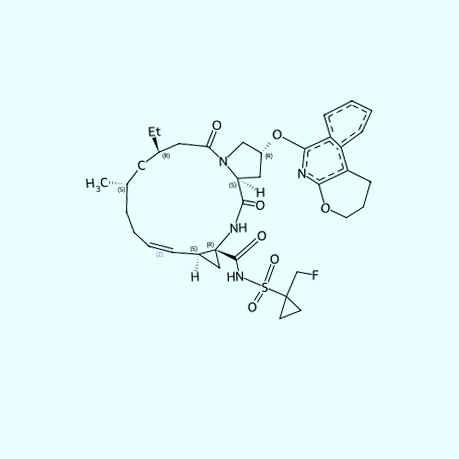 CC[C@H]1CC(=O)N2C[C@H](Oc3nc4c(c5ccccc35)CCCO4)C[C@H]2C(=O)N[C@]2(C(=O)NS(=O)(=O)C3(CF)CC3)C[C@H]2/C=C\CC[C@H](C)C1